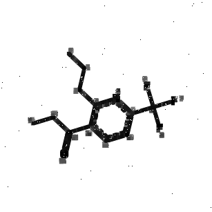 CCCc1nc(C(F)(F)F)ccc1C(=O)CC